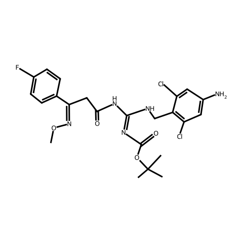 CON=C(CC(=O)NC(=NC(=O)OC(C)(C)C)NCc1c(Cl)cc(N)cc1Cl)c1ccc(F)cc1